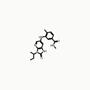 CCC(C)n1c(=O)[nH]c2cc(Nc3cc(C(=O)NC)ccc3C)cnc21